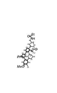 CCC(=O)NC[C@H]1CC[C@H](C(=O)N(C[C@H]2CC[C@H](c3ccc(OC)c(C)c3)CC2)c2cccc(-c3cnn(C(C)C)c3)c2)CC1